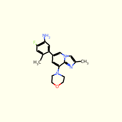 Cc1cn2cc(-c3cc(N)c(F)cc3C)cc(N3CCOCC3)c2n1